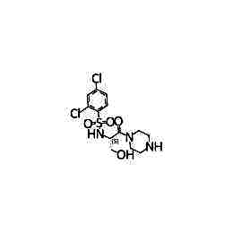 O=C([C@H](CO)NS(=O)(=O)c1ccc(Cl)cc1Cl)N1CCNCC1